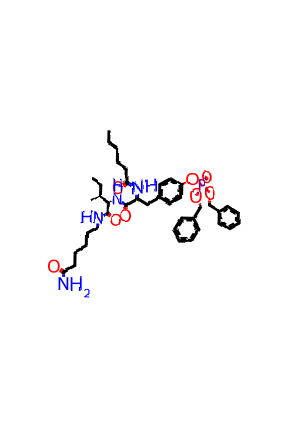 CCCCCC(=O)NC(Cc1ccc(OP(=O)(OCc2ccccc2)OCc2ccccc2)cc1)C(=O)N[C@H](C(=O)NCCCCCC(N)=O)[C@@H](C)CC